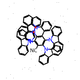 N#Cc1c(-n2c3ccccc3c3ccccc32)c(-n2c3ccccc3c3ccccc32)c(-c2ccccc2-n2c3ccccc3c3ccncc32)c(-n2c3ccccc3c3ccccc32)c1-n1c2ccccc2c2ccccc21